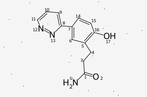 NC(=O)CCc1cc(-c2cccnn2)ccc1O